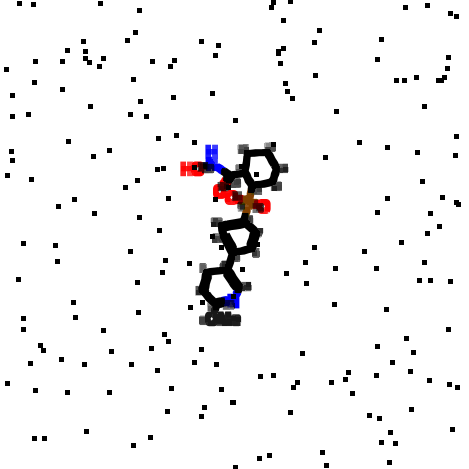 COc1ccc(-c2ccc(S(=O)(=O)C3CCCCC3C(=O)NO)cc2)cn1